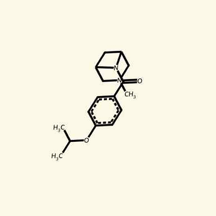 CC(C)Oc1ccc(C(=O)N2C3CC2CN(C)C3)cc1